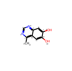 Cc1ncnc2cc(O)c(O)cc12